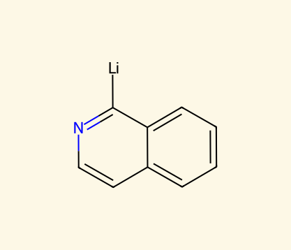 [Li][c]1nccc2ccccc12